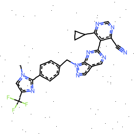 Cn1cc(C(F)(F)F)nc1-c1ccc(Cn2ncc3cnc(-c4c(C#N)ncnc4C4CC4)nc32)cc1